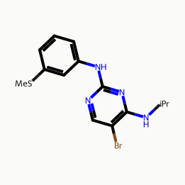 CSc1cccc(Nc2ncc(Br)c(NC(C)C)n2)c1